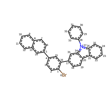 Brc1ccc(-c2ccc3ccccc3c2)cc1-c1ccc2c3ccccc3n(-c3ccccc3)c2c1